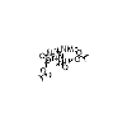 C=C(C)C(=O)OCCOC(=O)N(C)c1nc(NC)nc(N(C)C(=O)OCCOC(=O)C(=C)C)n1